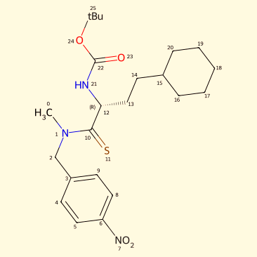 CN(Cc1ccc([N+](=O)[O-])cc1)C(=S)[C@@H](CCC1CCCCC1)NC(=O)OC(C)(C)C